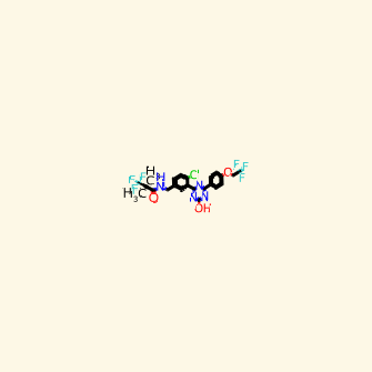 CC(C)(C(=O)NCc1ccc(Cl)c(-c2nc(O)nc(-c3ccc(OCC(F)(F)F)cc3)n2)c1)C(F)(F)F